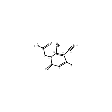 Cc1cc(=O)n(CC(=O)O)c(O)c1C#N